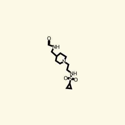 O=CNCC1CCN(CCNS(=O)(=O)C2CC2)CC1